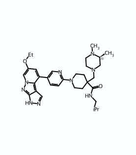 CCOc1cc(-c2ccc(N3CCC(CN4CCN(C)[C@@H](C)C4)(C(=O)NCC(C)C)CC3)nc2)c2c3cn[nH]c3nn2c1